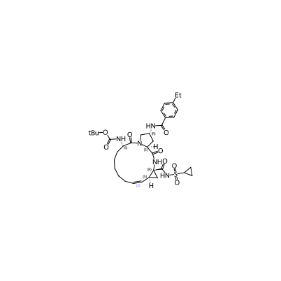 CCc1ccc(C(=O)N[C@@H]2C[C@H]3C(=O)N[C@]4(C(=O)NS(=O)(=O)C5CC5)C[C@H]4/C=C\CCCCC[C@H](NC(=O)OC(C)(C)C)C(=O)N3C2)cc1